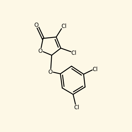 O=C1OC(Oc2cc(Cl)cc(Cl)c2)C(Cl)=C1Cl